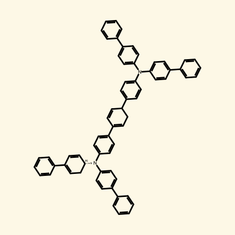 C1=C[C@H](N(c2ccc(C3=CCC(c4ccc(N(c5ccc(-c6ccccc6)cc5)c5ccc(-c6ccccc6)cc5)cc4)C=C3)cc2)c2ccc(-c3ccccc3)cc2)CC=C1c1ccccc1